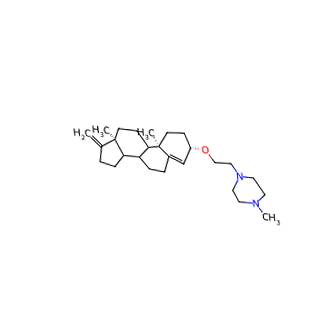 C=C1CCC2C3CCC4=C[C@@H](OCCN5CCN(C)CC5)CC[C@]4(C)C3CC[C@]12C